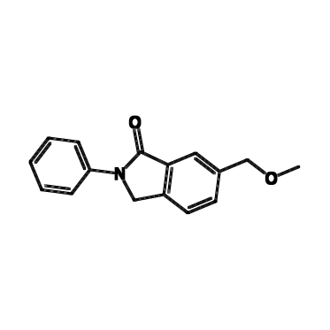 COCc1ccc2c(c1)C(=O)N(c1ccccc1)C2